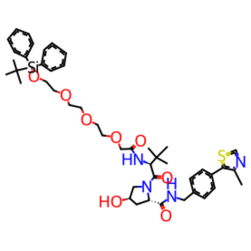 Cc1ncsc1-c1ccc(CNC(=O)[C@@H]2C[C@@H](O)CN2C(=O)[C@@H](NC(=O)COCCOCCOCCO[Si](c2ccccc2)(c2ccccc2)C(C)(C)C)C(C)(C)C)cc1